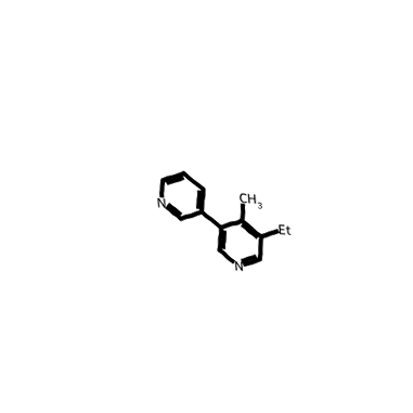 CCc1cncc(-c2cccnc2)c1C